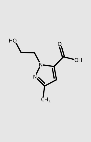 Cc1cc(C(=O)O)n(CCO)n1